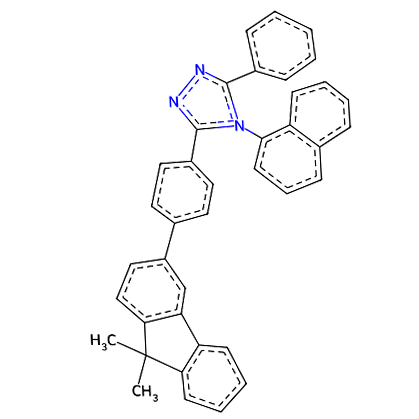 CC1(C)c2ccccc2-c2cc(-c3ccc(-c4nnc(-c5ccccc5)n4-c4cccc5ccccc45)cc3)ccc21